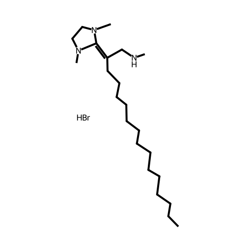 Br.CCCCCCCCCCCCCCC(CNC)=C1N(C)CCN1C